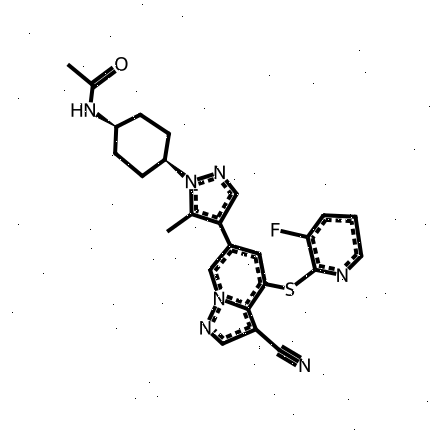 CC(=O)N[C@H]1CC[C@@H](n2ncc(-c3cc(Sc4ncccc4F)c4c(C#N)cnn4c3)c2C)CC1